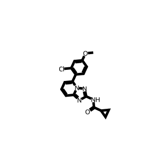 COc1ccc(-c2cccc3nc(NC(=O)C4CC4)nn23)c(Cl)c1